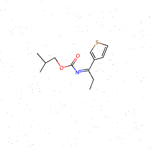 CC/C(=N/C(=O)OCC(C)C)c1ccsc1